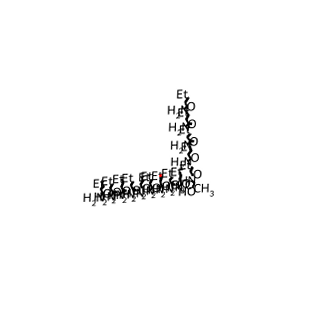 CCC=CC(=O)NCC(C)(C)O.CCC=CC(N)=O.CCC=CC(N)=O.CCC=CC(N)=O.CCC=CC(N)=O.CCC=CC(N)=O.CCC=CC(N)=O.CCC=CC(N)=O.CCC=CC(N)=O.CCC=CC(N)=O.CCC=CC(N)=O.CCC=CC(N)=O.CCC=CC(N)=O.CCC=CC(N)=O